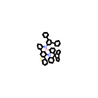 c1ccc(-c2cc(-c3ccccc3)cc(N3B4c5cccc6c5N(c5ccccc5C65c6ccccc6-c6ccccc65)c5c4c(cc4sc6ccccc6c54)-c4ccccc43)c2)cc1